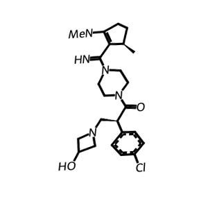 CNC1=C(C(=N)N2CCN(C(=O)[C@H](CN3CC(O)C3)c3ccc(Cl)cc3)CC2)[C@H](C)CC1